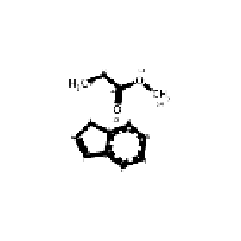 C1=Cc2ccccc2C1.CCC(=O)OC